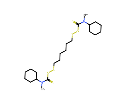 CCCN(C(=S)SSCCCCCCSSC(=S)N(CCC)C1CCCCC1)C1CCCCC1